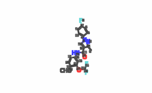 Cc1nn(-c2ccc(F)cc2)cc1C(=O)Nc1ccc(C=O)c(OC(F)F)c1